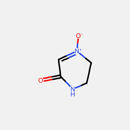 O=C1C=[N+]([O-])CCN1